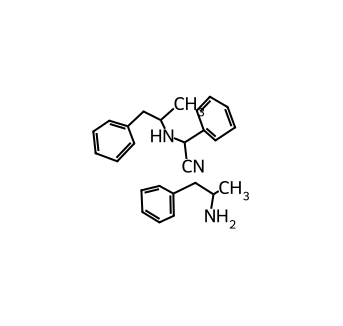 CC(Cc1ccccc1)NC(C#N)c1ccccc1.CC(N)Cc1ccccc1